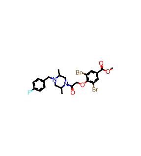 COC(=O)c1cc(Br)c(OCC(=O)N2CC(C)N(Cc3ccc(F)cc3)CC2C)c(Br)c1